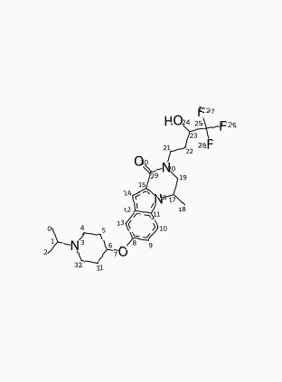 CC(C)N1CCC(Oc2ccc3c(c2)cc2n3C(C)CN(CCC(O)C(F)(F)F)C2=O)CC1